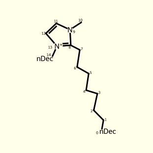 CCCCCCCCCCCCCCCCCc1n(C)cc[n+]1CCCCCCCCCC